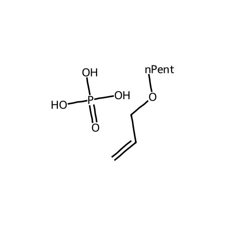 C=CCOCCCCC.O=P(O)(O)O